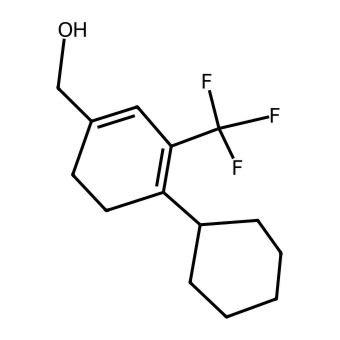 OCC1=CC(C(F)(F)F)=C(C2CCCCC2)CC1